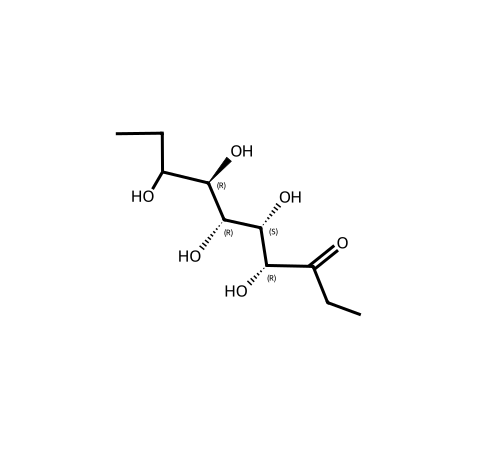 CCC(=O)[C@H](O)[C@@H](O)[C@H](O)[C@H](O)C(O)CC